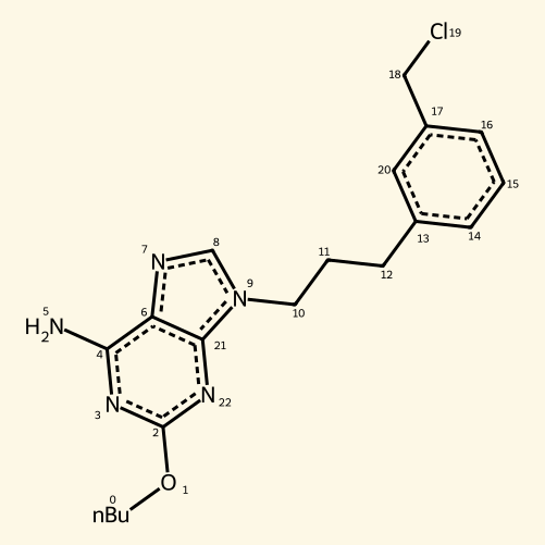 CCCCOc1nc(N)c2ncn(CCCc3cccc(CCl)c3)c2n1